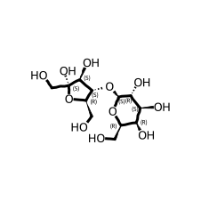 OC[C@H]1O[C@@H](O[C@@H]2[C@@H](CO)O[C@@](O)(CO)[C@H]2O)[C@H](O)[C@@H](O)[C@H]1O